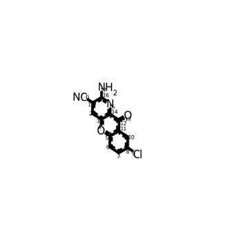 N#Cc1cc2oc3ccc(Cl)cc3c(=O)c2nc1N